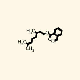 CC(C)=CCCC(C)CCOC(=O)c1ccccc1C=O